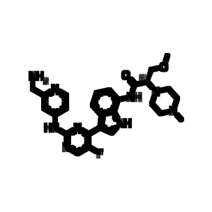 COC[C@H](C(=O)Nc1cccc2c(-c3nc(Nc4ccnc(CN)c4)ncc3F)c[nH]c12)N1CCN(C)CC1